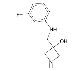 OC1(CNc2cccc(F)c2)CNC1